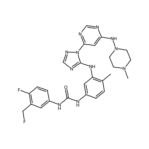 Cc1ccc(NC(=O)Nc2ccc(F)c(CF)c2)cc1Nc1ncnn1-c1cc(NN2CCN(C)CC2)ncn1